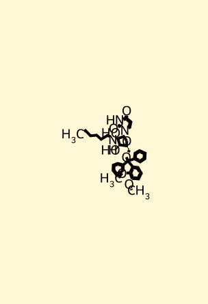 CCCCCCN[C@@]1(O)[C@H](O)[C@@H](COC(c2ccccc2)(c2ccccc2)c2cccc(OC)c2OC)O[C@H]1n1ccc(=O)[nH]c1=O